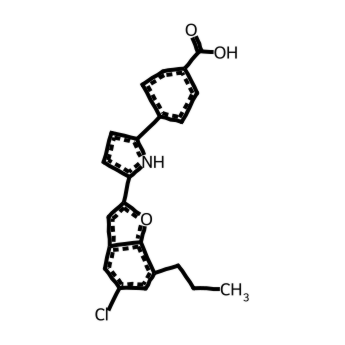 CCCc1cc(Cl)cc2cc(-c3ccc(-c4ccc(C(=O)O)cc4)[nH]3)oc12